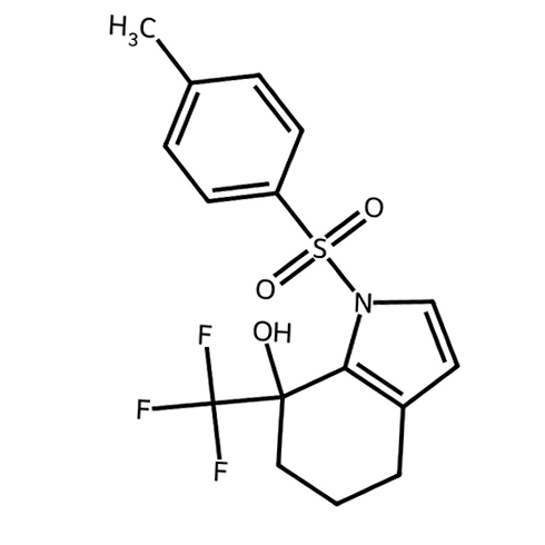 Cc1ccc(S(=O)(=O)n2ccc3c2C(O)(C(F)(F)F)CCC3)cc1